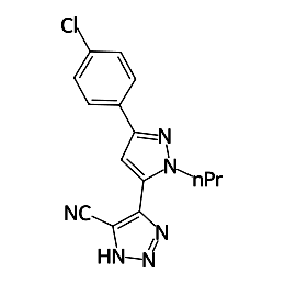 CCCn1nc(-c2ccc(Cl)cc2)cc1-c1nn[nH]c1C#N